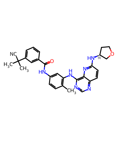 Cc1ccc(NC(=O)c2cccc(C(C)(C)C#N)c2)cc1Nc1ncnc2ccc(N[C@H]3CCOC3)nc12